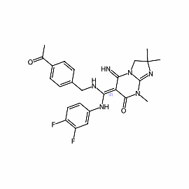 CC(=O)c1ccc(CN/C(Nc2ccc(F)c(F)c2)=c2/c(=O)n(C)c3n(c2=N)CC(C)(C)N=3)cc1